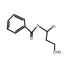 CCC(CCC=O)OC(=O)c1ccccc1